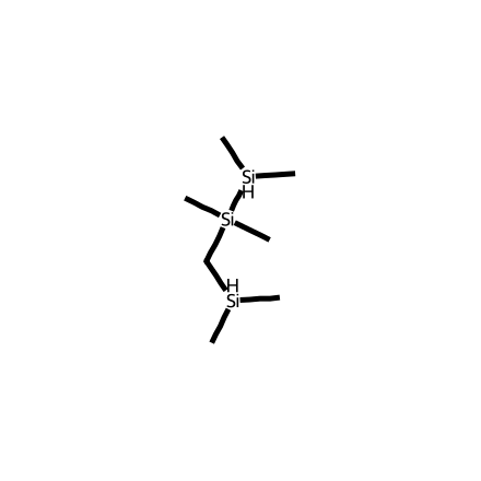 C[SiH](C)C[Si](C)(C)[SiH](C)C